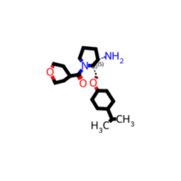 CC(C)C1CCC(OC[C@H]2[C@@H](N)CCCN2C(=O)C2CCOCC2)CC1